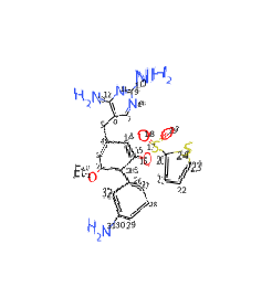 CCOc1cc(Cc2cnc(N)nc2N)cc(OS(=O)(=O)c2cccs2)c1-c1cccc(N)c1